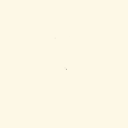 CCNN1CCCC1